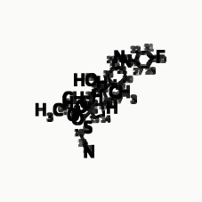 CC(C)C(=O)O[C@]1(C(=O)SCC#N)CC[C@H]2[C@@H]3CCC4=Cc5c(cnn5-c5ccc(F)cc5)C[C@]4(C)[C@H]3[C@@H](O)C[C@@]21C